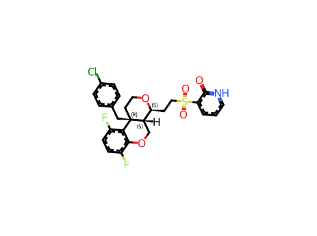 O=c1[nH]cccc1S(=O)(=O)CC[C@@H]1OCC[C@@]2(Cc3ccc(Cl)cc3)c3c(F)ccc(F)c3OC[C@@H]12